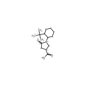 CC(C)(C)C1CCCCC1N1CC(C(=O)O)CC1=O